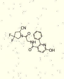 N#CC1CC(F)(F)CN1C(=O)CNC(=O)c1ccc(O)nc1-c1ccccc1